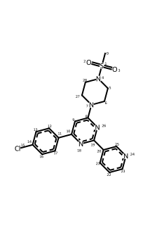 CS(=O)(=O)N1CCN(c2cc(-c3ccc(Cl)cc3)nc(-c3cccnc3)n2)CC1